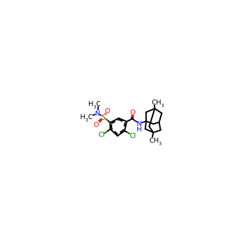 CN(C)S(=O)(=O)c1cc(C(=O)NC23CC4CC(C)(CC(C)(C4)C2)C3)c(Cl)cc1Cl